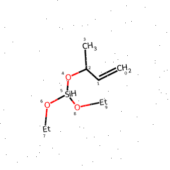 C=CC(C)O[SiH](OCC)OCC